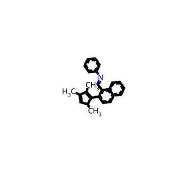 CC1=CC(C)C(c2ccc3ccccc3c2C=Nc2ccccc2)=C1C